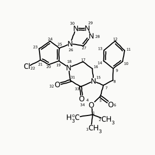 CC(C)(C)OC(=O)C(Cc1ccccc1)N1CCN(c2cc(Cl)ccc2-n2cnnn2)C(=O)C1=O